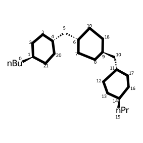 CCCC[C@H]1CC[C@H](C[C@H]2CC[C@H](C[C@H]3CC[C@H](CCC)CC3)CC2)CC1